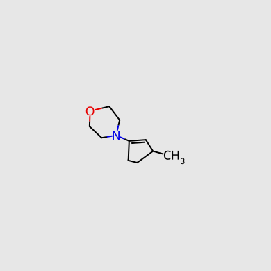 CC1C=C(N2CCOCC2)CC1